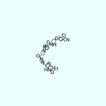 CCc1cc2ncc(CN3CCN(C(=O)C4CCN(c5ccc(C(=O)NC6CCC(Oc7ccc(C#N)c(Cl)c7C)CC6)nn5)CC4)CC3)cc2[nH]c1=O